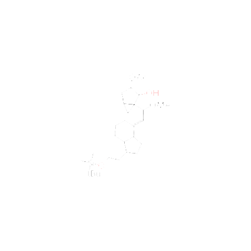 COC(/C=C1\CCC[C@@]2(C)C1CCC2[C@H](C)CO[Si](C)(C)C(C)(C)C)C12CC1C[C@H](OC(C)=O)C2O